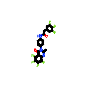 Cc1nc2c(F)c(F)c(F)c(F)c2c(=O)n1-c1ccc(NC(=O)Cc2cc(F)c(F)c(F)c2)cc1